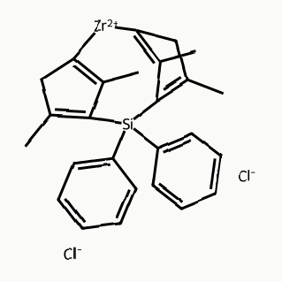 CC1=C2C(C)=[C](C1)[Zr+2][C]1=C(C)C(=C(C)C1)[Si]2(c1ccccc1)c1ccccc1.[Cl-].[Cl-]